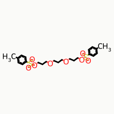 Cc1ccc(S(=O)(=O)OCCCOCCCOCCCOS(=O)(=O)c2ccc(C)cc2)cc1